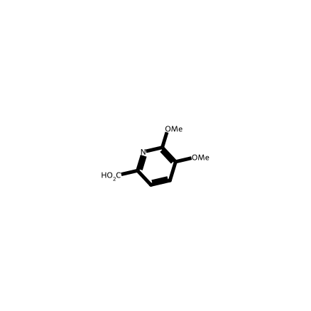 COc1ccc(C(=O)O)nc1OC